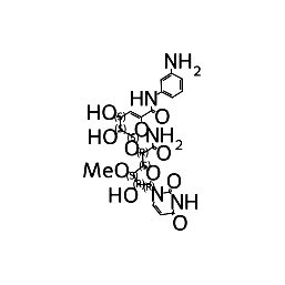 CO[C@H]1[C@@H](O)[C@H](n2ccc(=O)[nH]c2=O)O[C@@H]1[C@@H](O[C@H]1OC(C(=O)Nc2cccc(N)c2)=C[C@H](O)[C@@H]1O)C(N)=O